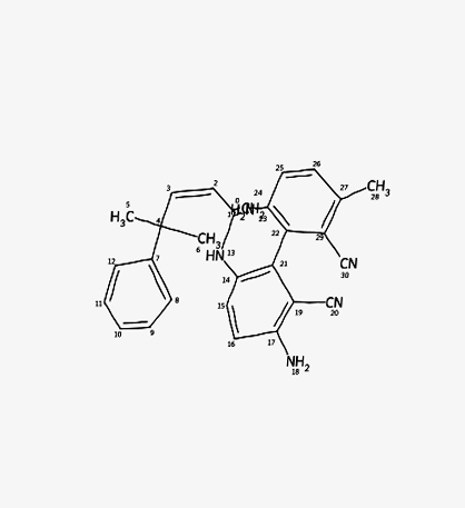 C=C(/C=C\C(C)(C)c1ccccc1)Nc1ccc(N)c(C#N)c1-c1c(N)ccc(C)c1C#N